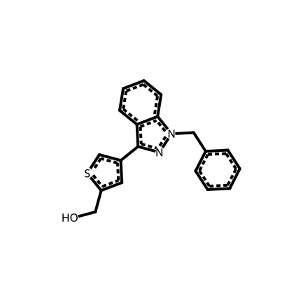 OCc1cc(-c2nn(Cc3ccccc3)c3ccccc23)cs1